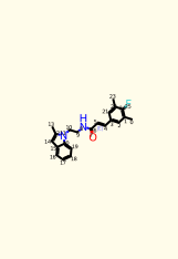 Cc1cc(/C=C/C(=O)NCCn2c(C)cc3ccccc32)cc(C)c1F